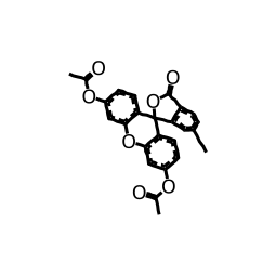 CC(=O)Oc1ccc2c(c1)Oc1cc(OC(C)=O)ccc1C21OC(=O)c2ccc(C)cc21